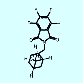 CC1(C)[C@H]2CC[C@@H](CN3C(=O)c4c(F)c(F)c(F)c(F)c4C3=O)[C@@H]1C2